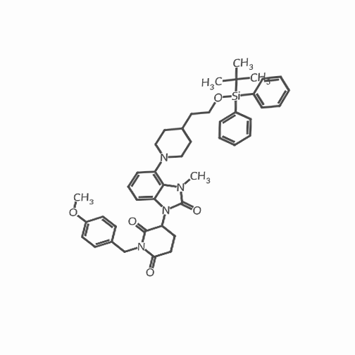 COc1ccc(CN2C(=O)CCC(n3c(=O)n(C)c4c(N5CCC(CCO[Si](c6ccccc6)(c6ccccc6)C(C)(C)C)CC5)cccc43)C2=O)cc1